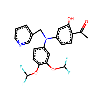 CC(=O)c1ccc(N(Cc2cccnc2)c2ccc(OC(F)F)c(OC(F)F)c2)cc1O